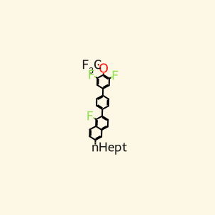 CCCCCCCc1ccc2c(F)c(-c3ccc(-c4cc(F)c(OC(F)(F)F)c(F)c4)cc3)ccc2c1